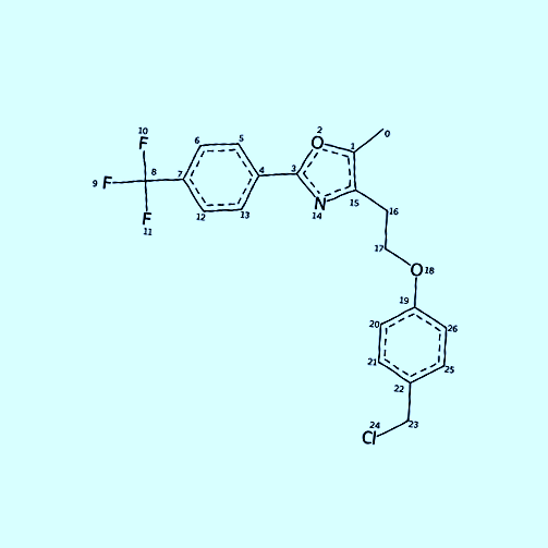 Cc1oc(-c2ccc(C(F)(F)F)cc2)nc1CCOc1ccc(CCl)cc1